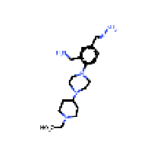 NCc1cc(C=NN)ccc1N1CCN(C2CCN(CC(=O)O)CC2)CC1